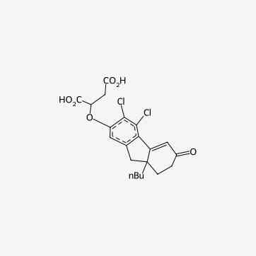 CCCCC12CCC(=O)C=C1c1c(cc(OC(CC(=O)O)C(=O)O)c(Cl)c1Cl)C2